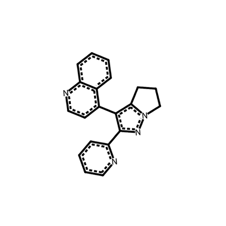 c1ccc(-c2nn3c(c2-c2ccnc4ccccc24)CCC3)nc1